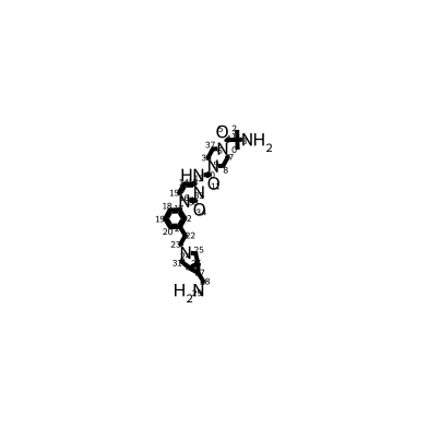 CC(C)(N)C(=O)N1CCN(C(=O)Nc2ccn(-c3cccc(CCN4CC5C(CN)C5C4)c3)c(=O)n2)CC1